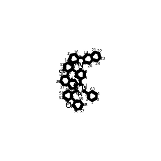 c1ccc(-c2nc(-c3ccc(-n4c5ccccc5c5cc6ccccc6cc54)c(-c4cccc5sc6ccc7ccccc7c6c45)c3)nc(-c3cccc4oc5ccccc5c34)n2)cc1